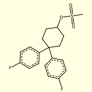 CS(=O)(=O)OC1CCC(c2ccc(F)cc2)(c2ccc(F)cc2)CC1